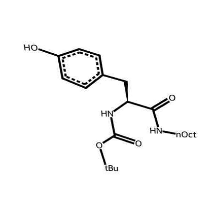 CCCCCCCCNC(=O)[C@H](Cc1ccc(O)cc1)NC(=O)OC(C)(C)C